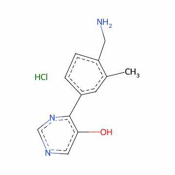 Cc1cc(-c2ncncc2O)ccc1CN.Cl